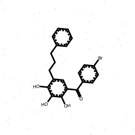 O=C(c1ccc(Br)cc1)c1cc(CCCc2ccccc2)c(O)c(O)c1O